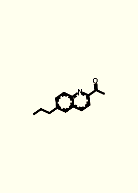 CCCc1ccc2nc(C(C)=O)ccc2c1